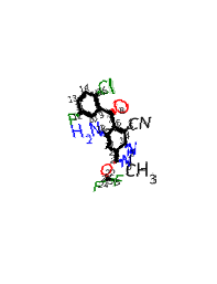 Cn1nc2c(C#N)c(C(=O)c3cc(F)ccc3Cl)c(N)cc2c1OC(F)F